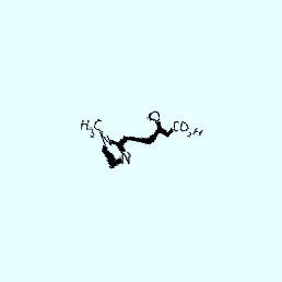 Cn1ccnc1CCC(=O)CC(=O)O